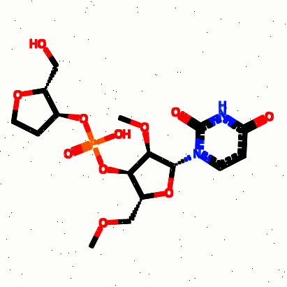 COC[C@H]1O[C@@H](n2ccc(=O)[nH]c2=O)[C@H](OC)[C@@H]1OP(=O)(O)O[C@H]1CCO[C@@H]1CO